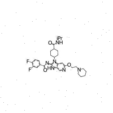 CC(C)NC(=O)C1CCC(n2/c(=N/C(=O)c3ccc(F)c(F)c3)[nH]c3cnc(OCCN4CCCCC4)cc32)CC1